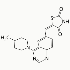 CC1CCN(c2ncnc3ccc(C=C4SC(=O)NC4=O)cc23)CC1